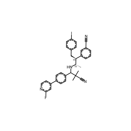 C[C@H](NC(c1ccc(-c2ccnc(F)c2)cc1)C(C)(C)C#N)[C@@H](Cc1ccc(I)cc1)c1cccc(C#N)c1